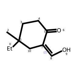 CCC1(C)CCC(=O)/C(=C\O)C1